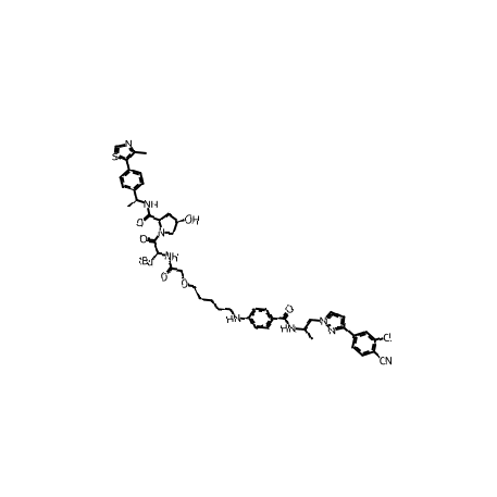 Cc1ncsc1-c1ccc([C@H](C)NC(=O)C2C[C@@H](O)CN2C(=O)C(NC(=O)COCCCCCNc2ccc(C(=O)NC(C)Cn3ccc(-c4ccc(C#N)c(Cl)c4)n3)cc2)C(C)(C)C)cc1